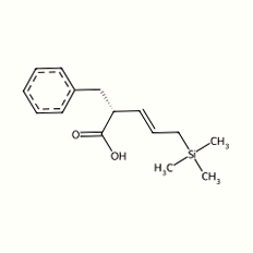 C[Si](C)(C)C/C=C/[C@@H](Cc1ccccc1)C(=O)O